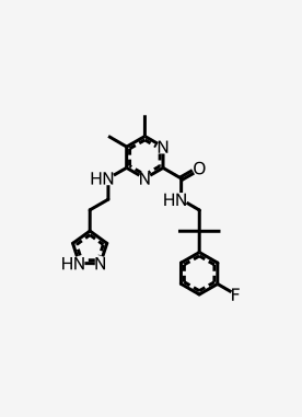 Cc1nc(C(=O)NCC(C)(C)c2cccc(F)c2)nc(NCCc2cn[nH]c2)c1C